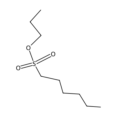 CCCCCCS(=O)(=O)OCCC